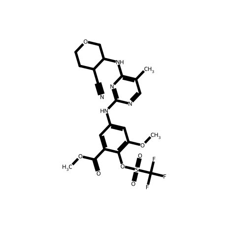 COC(=O)c1cc(Nc2ncc(C)c(NC3COCCC3C#N)n2)cc(OC)c1OS(=O)(=O)C(F)(F)F